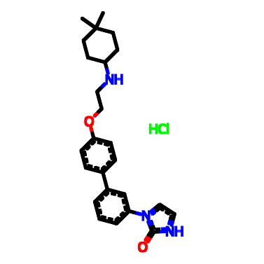 CC1(C)CCC(NCCOc2ccc(-c3cccc(-n4cc[nH]c4=O)c3)cc2)CC1.Cl